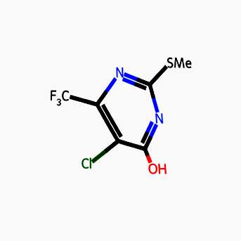 CSc1nc(O)c(Cl)c(C(F)(F)F)n1